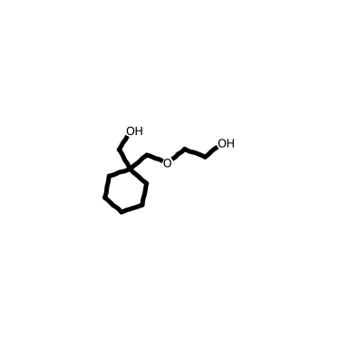 OCCOCC1(CO)CCCCC1